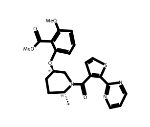 COC(=O)c1c(OC)cccc1O[C@@H]1CC[C@@H](C)N(C(=O)c2ccsc2-c2ncccn2)C1